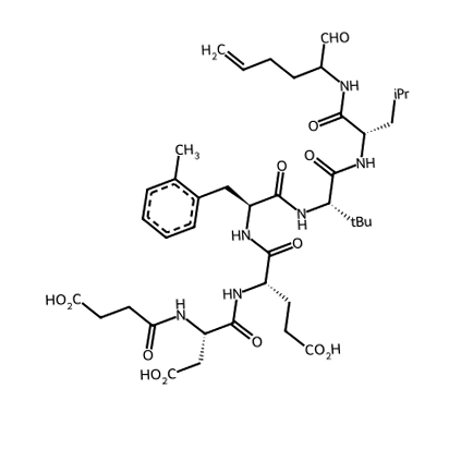 C=CCCC(C=O)NC(=O)[C@H](CC(C)C)NC(=O)[C@@H](NC(=O)[C@H](Cc1ccccc1C)NC(=O)[C@H](CCC(=O)O)NC(=O)[C@H](CC(=O)O)NC(=O)CCC(=O)O)C(C)(C)C